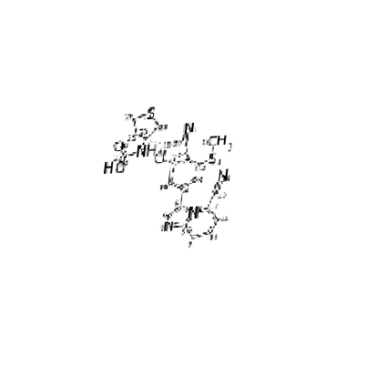 CSc1cc(-c2cnc3cccc(C#N)n23)cc(OC[C@]2(NC(=O)O)CCSC2)c1C#N